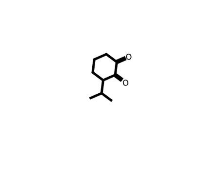 CC(C)C1CCCC(=O)C1=O